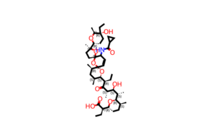 CC[C@@H](C(=O)[C@@H](C)[C@@H](O)[C@H](C)[C@@H]1O[C@@H]([C@@H](CC)C(=O)O)CC[C@@H]1C)[C@H]1O[C@]2(C=CC(NC(=O)C3CC3)[C@]3(CC[C@@](C)([C@H]4CC[C@](O)(CC)[C@H](C)O4)O3)O2)[C@H](C)C[C@@H]1C